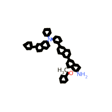 CC(Oc1c(N)ccc2cc(-c3ccc4cc(-c5cccc(N(c6ccccc6)c6ccc7ccc(-c8ccccc8)cc7c6)c5)ccc4c3)ccc12)c1ccccc1